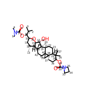 CC(C)[C@@H](OC(=O)N(C)C)C1C[C@@H](C)[C@H]2C(O1)[C@H](O)[C@@]1(C)C3CC[C@H]4C(C)(C)C(OC(=O)N5CCC5)CC[C@@]45C[C@@]35CC[C@]21C